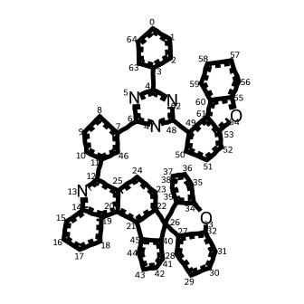 c1ccc(-c2nc(-c3cccc(-c4nc5ccccc5c5c6c(ccc45)C4(c5ccccc5Oc5ccccc54)c4ccccc4-6)c3)nc(-c3cccc4oc5ccccc5c34)n2)cc1